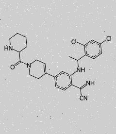 CC(Nc1cc(C2=CCN(C(=O)C3CCCCN3)CC2)ccc1C(=N)C#N)c1ccc(Cl)cc1Cl